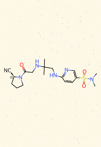 CN(C)S(=O)(=O)c1ccc(NCC(C)(C)NCC(=O)N2CCC[C@H]2C#N)nc1